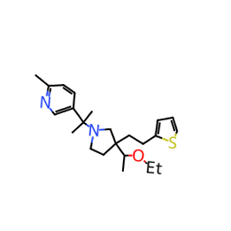 CCOC(C)C1(CCc2cccs2)CCN(C(C)(C)c2ccc(C)nc2)C1